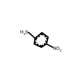 O=[N+]([O-])c1ccc([SiH3])cc1